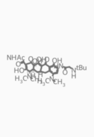 CC(=O)NC(=O)C1=C(O)[C@@H](N(C)C)[C@@H]2C[C@@H]3Cc4c(N(C)C)cc(NC(=O)CNC(C)(C)C)c(O)c4C(=O)C3=C(O)[C@]2(O)C1=O